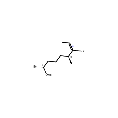 C/C=C(/CCC)[C@@H](C)CCC[C@@H](CC)OC(C)=O